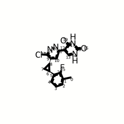 Cc1cccc([C@H]2C[C@@H]2c2cc(-c3c[nH]c(=O)[nH]c3=O)nnc2Cl)c1F